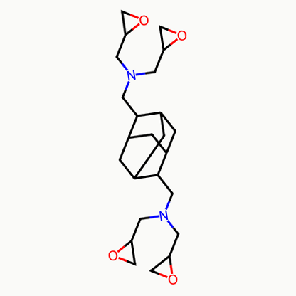 C1OC1CN(CC1CO1)CC1C2CC3CC1CC(C2)C3CN(CC1CO1)CC1CO1